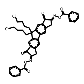 O=C(O/N=C1/Cc2cc3c(cc2C1=O)C(CCCCCl)(CCCCCl)c1cc2c(cc1-3)C/C(=N\OC(=O)c1ccccc1)C2=O)c1ccccc1